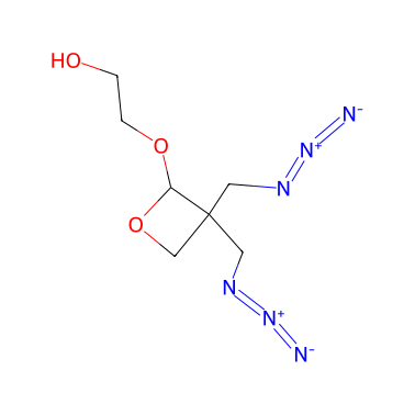 [N-]=[N+]=NCC1(CN=[N+]=[N-])COC1OCCO